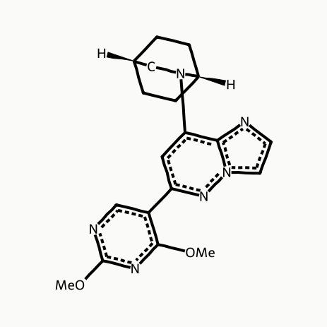 COc1ncc(-c2cc(N3C[C@H]4CC[C@@H]3CC4)c3nccn3n2)c(OC)n1